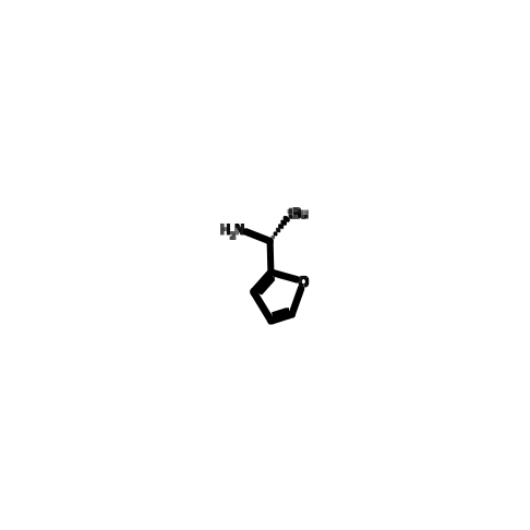 CC(C)(C)[C@@H](N)c1ccco1